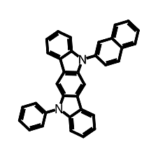 c1ccc(-n2c3ccccc3c3cc4c(cc32)c2ccccc2n4-c2ccc3ccccc3c2)cc1